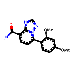 COc1ccc(-c2ccc(C(N)=O)c3n[c]nn23)c(OC)c1